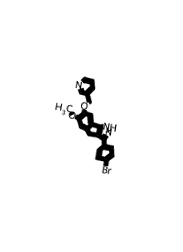 COc1cc2c(cc1OCc1cccnc1)-c1[nH]nc(-c3ccc(Br)cc3)c1C2